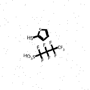 O=S(=O)(O)C(F)(F)C(F)(F)C(F)(F)C(F)(F)F.Sc1cccs1